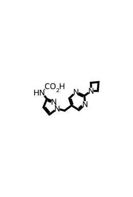 O=C(O)Nc1ccn(Cc2cnc(N3CCC3)nc2)n1